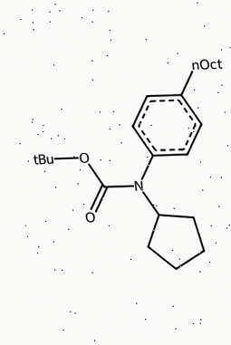 CCCCCCCCc1ccc(N(C(=O)OC(C)(C)C)C2CCCC2)cc1